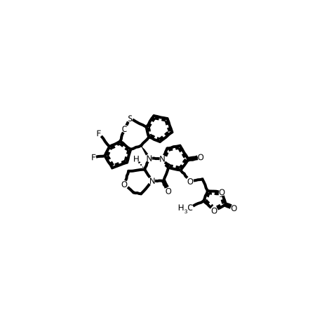 Cc1oc(=O)oc1COc1c2n(ccc1=O)N([C@@H]1c3ccccc3SCc3c1ccc(F)c3F)[C@@H]1COCCN1C2=O